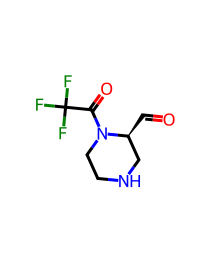 O=C[C@H]1CNCCN1C(=O)C(F)(F)F